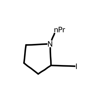 CCCN1CCCC1I